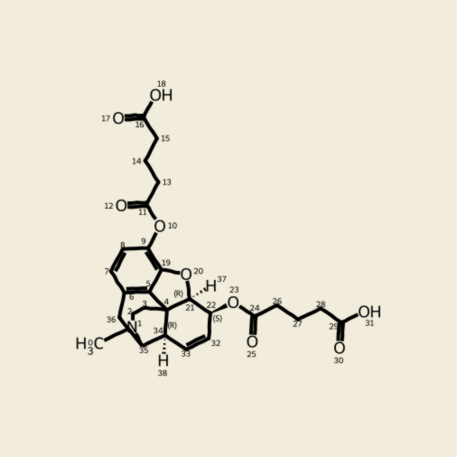 CN1CCC23c4c5ccc(OC(=O)CCCC(=O)O)c4O[C@H]2[C@@H](OC(=O)CCCC(=O)O)C=C[C@H]3C1C5